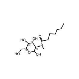 CCCCCCC(=O)N(C)[C@H]1C(O)O[C@H](CO)[C@@H](O)[C@@H]1O